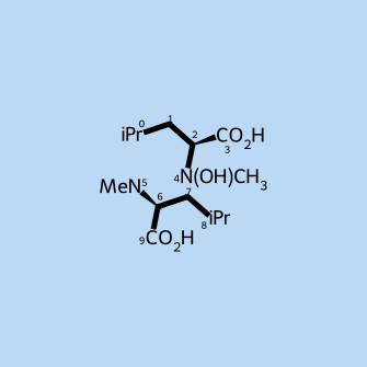 CC(C)C[C@@H](C(=O)O)N(C)O.CN[C@@H](CC(C)C)C(=O)O